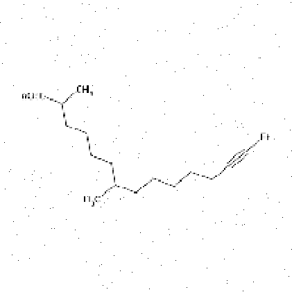 [CH2]CC#CCCCCCC(C)CCCCC(C)CCCCCCC[CH2]